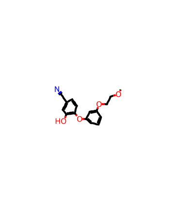 COCCOc1cccc(Oc2ccc(C#N)cc2O)c1